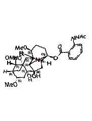 CCN1C[C@]2(OC(=O)c3ccccc3NC(C)=O)CC[C@H](OC)[C@]34C1[C@](O)(C[C@H]23)[C@@]1(O)C[C@H](OC)[C@H]2C[C@@H]4[C@]1(O)[C@H]2OC